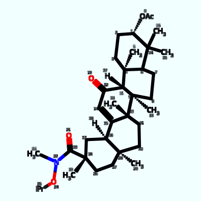 CC(=O)O[C@H]1CC[C@@]2(C)C(CC[C@]3(C)[C@@H]2C(=O)C=C2[C@@H]4C[C@@](C)(C(=O)N(C)OC(C)C)CC[C@]4(C)CC[C@]23C)C1(C)C